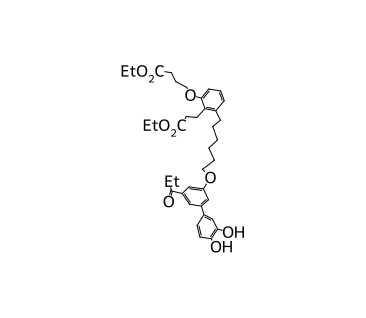 CCOC(=O)CCCOc1cccc(CCCCCCOc2cc(C(=O)CC)cc(-c3ccc(O)c(O)c3)c2)c1CCC(=O)OCC